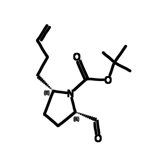 C=CCC[C@H]1CC[C@@H](C=O)N1C(=O)OC(C)(C)C